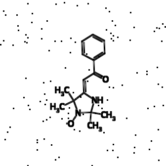 CC1(C)NC(=CC(=O)c2ccccc2)C(C)(C)N1[O]